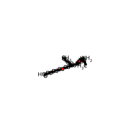 CCCCc1nc2c(N)nc3ccc(N4CCN(CCOCCN(CCOCCOCCOCCOCCOCCOCCOCCOCCC(=O)O)C(=O)CCOCCOCCOC)CC4)cc3c2[nH]1